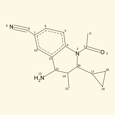 CC(=O)N1c2ccc(C#N)cc2C(N)C(C)C1C1CC1